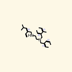 C=C/C(=C\C(C)C)CNCCN(CC(/C=C\C)=C/C)CC(=C/C)/C(C)=C\C